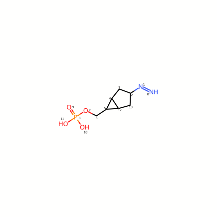 N=NC1CC2C(COP(=O)(O)O)C2C1